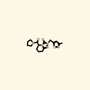 Cc1cc(Cn2nc3n(c2=O)C(C(=O)N2CCCC2)CCC3)on1